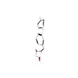 Cc1ccc(Oc2cccc(C=C3OC(=O)NC3=O)c2)cc1